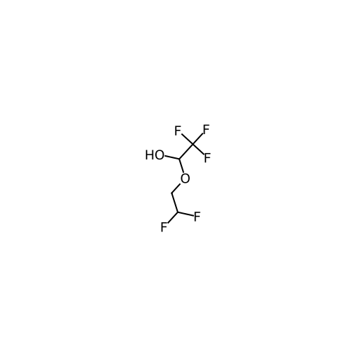 OC(OCC(F)F)C(F)(F)F